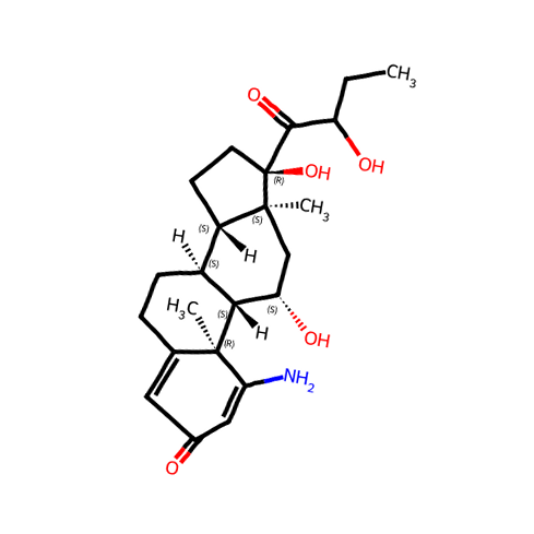 CCC(O)C(=O)[C@@]1(O)CC[C@H]2[C@@H]3CCC4=CC(=O)C=C(N)[C@]4(C)[C@H]3[C@@H](O)C[C@@]21C